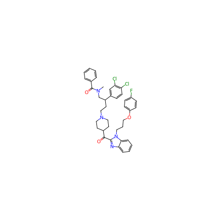 CN(CC(CCN1CCC(C(=O)c2nc3ccccc3n2CCCOc2ccc(F)cc2)CC1)c1ccc(Cl)c(Cl)c1)C(=O)c1ccccc1